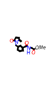 C=C1C=CC(=O)N1Cc1cccc(C(=O)NCC(=O)OC)c1